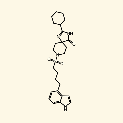 O=C1NC(C2CCCCC2)=NC12CCN(S(=O)(=O)CCCCc1cccc3[nH]ccc13)CC2